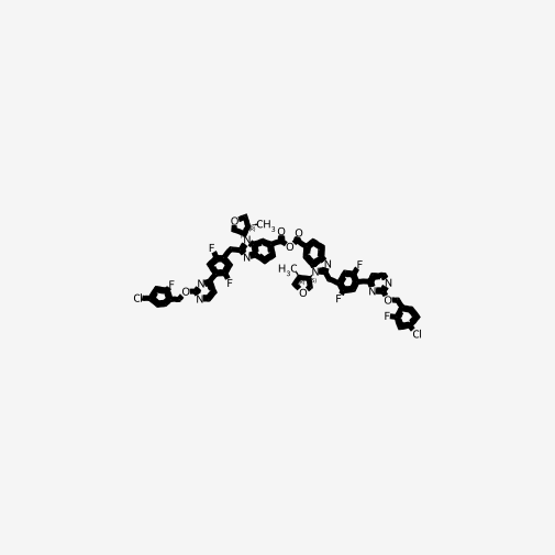 C[C@H]1COC[C@H]1n1c(Cc2cc(F)c(-c3ccnc(OCc4ccc(Cl)cc4F)n3)cc2F)nc2ccc(C(=O)OC(=O)c3ccc4nc(Cc5cc(F)c(-c6ccnc(OCc7ccc(Cl)cc7F)n6)cc5F)n([C@@H]5COC[C@@H]5C)c4c3)cc21